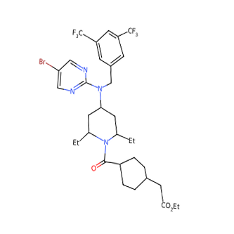 CCOC(=O)CC1CCC(C(=O)N2C(CC)CC(N(Cc3cc(C(F)(F)F)cc(C(F)(F)F)c3)c3ncc(Br)cn3)CC2CC)CC1